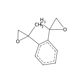 CC1(c2ccccc2C2(C)CO2)CO1